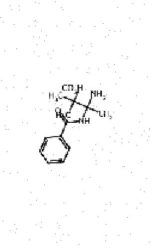 CC(N)(NC(=O)c1ccccc1)C(C)(C)C(=O)O